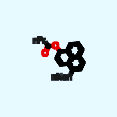 CCCCCCCCCc1ccc2cccc3c2c1C=CC3OC(=O)CCC